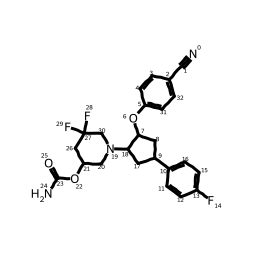 N#Cc1ccc(OC2CC(c3ccc(F)cc3)CC2N2CC(OC(N)=O)CC(F)(F)C2)cc1